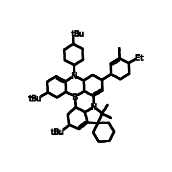 CCC1CCC(C2C=C3C4B(C5CC(C(C)(C)C)CC=C5N(C5CCC(C(C)(C)C)CC5)C4C2)C2CC(C(C)(C)C)C=C4C2N3C(C)(C)C42CCCCC2)C=C1C